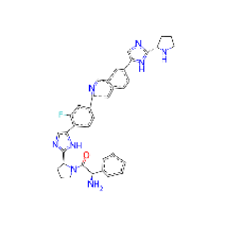 N[C@@H](C(=O)N1CCC[C@H]1c1ncc(-c2ccc(-c3cc4ccc(-c5cnc([C@@H]6CCCN6)[nH]5)cc4cn3)cc2F)[nH]1)c1ccccc1